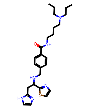 CCCN(CCC)CCCCNC(=O)c1ccc(CNC(Cc2ncc[nH]2)c2nccs2)cc1